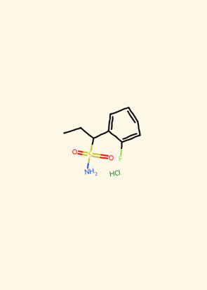 CCC(c1ccccc1F)S(N)(=O)=O.Cl